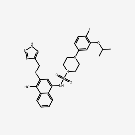 CC(C)Oc1cc(N2CCN(S(=O)(=O)Nc3cc(SCc4nn[nH]n4)c(O)c4ccccc34)CC2)ccc1F